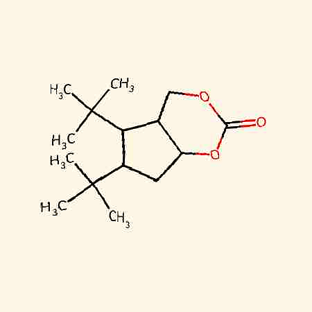 CC(C)(C)C1CC2OC(=O)OCC2C1C(C)(C)C